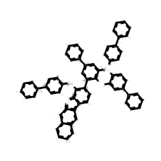 B1c2cc(-c3ccccc3)ccc2N(c2ccc(-c3ccccc3)cc2)c2cc(-c3ccccc3)cc(-c3ccc4c(oc5cc6ccccc6cc54)c3Nc3ccc(-c4ccccc4)cc3)c21